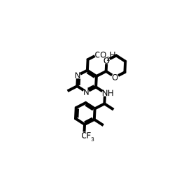 Cc1nc(CC(=O)O)c(C2OCCCO2)c(NC(C)c2cccc(C(F)(F)F)c2C)n1